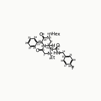 CCCCCCN1C[C@H]2N(C(=O)CN(CC)N2C(=O)NCc2ccc(F)cc2)[C@@H](c2ccccc2)C1=O